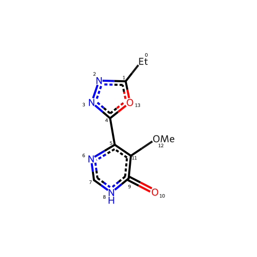 CCc1nnc(-c2nc[nH]c(=O)c2OC)o1